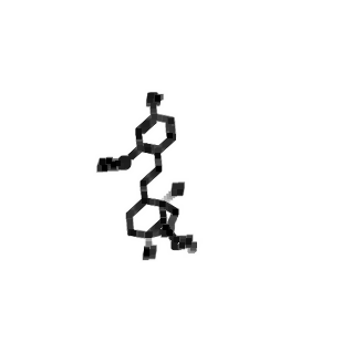 COc1cc(Br)ccc1CCC1CC[C@H]2C[C@@H]1CN2C